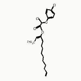 C=CCCCCCCCCC(=CC(=O)OCC)OC(=O)C(Cl)Oc1ccc(Cl)cc1